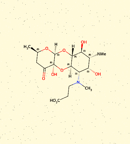 CN[C@H]1[C@H](O)[C@H]2O[C@@H]3O[C@H](C)CC(=O)[C@]3(O)O[C@@H]2[C@@H](N(C)CCC(=O)O)[C@H]1O